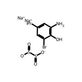 CC(C)c1cc(N)c(O)c(Br)c1.O=S([O-])S(=O)[O-].[Na+].[Na+]